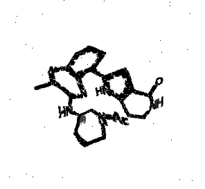 CC(=O)N1CCC[C@@H](Nc2nc3c(-c4cc5c([nH]4)CCNC5=O)cccc3nc2C)C1